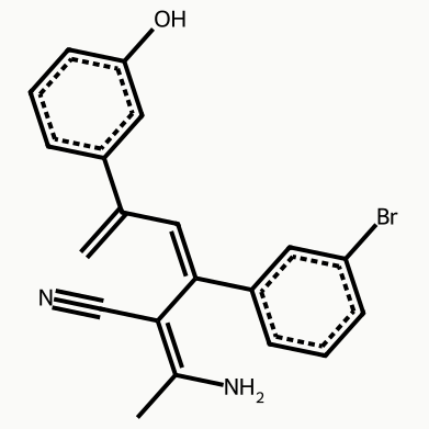 C=C(/C=C(\C(C#N)=C(\C)N)c1cccc(Br)c1)c1cccc(O)c1